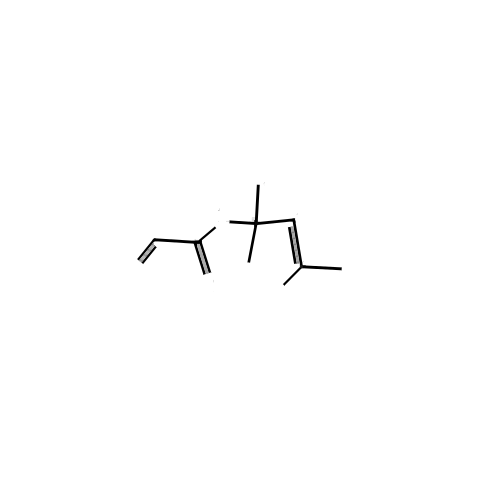 C=CC(=O)OC(C)(C)C=C(C)C